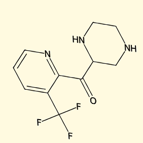 O=C(c1ncccc1C(F)(F)F)C1CNCCN1